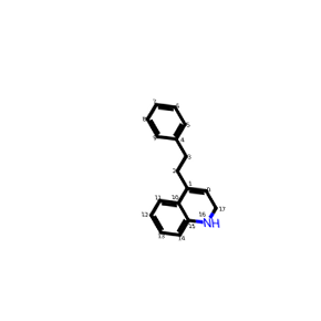 C1=C(CCc2ccccc2)c2ccccc2NC1